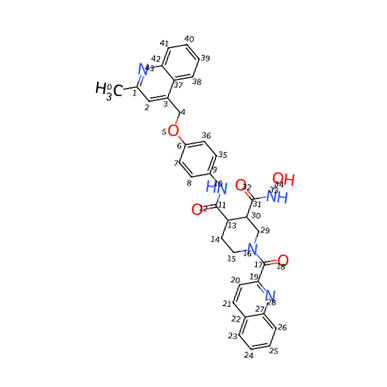 Cc1cc(COc2ccc(NC(=O)C3CCN(C(=O)c4ccc5ccccc5n4)CC3C(=O)NO)cc2)c2ccccc2n1